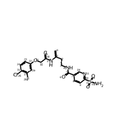 C=C(CCNC(=O)c1ccc(S(N)(=O)=O)nc1)NC(=O)COc1ccc(Cl)c(F)c1